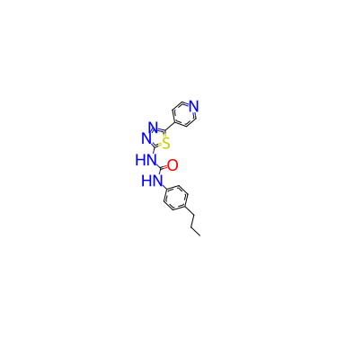 CCCc1ccc(NC(=O)Nc2nnc(-c3ccncc3)s2)cc1